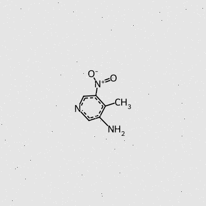 Cc1c(N)cncc1[N+](=O)[O-]